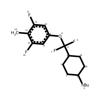 CCCCC1CCC(C(F)(F)Oc2cc(F)c(C)c(F)c2)CC1